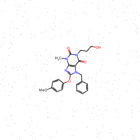 COc1ccc(Oc2nc3c(c(=O)n(CCCO)c(=O)n3C)n2Cc2ccccc2)cc1